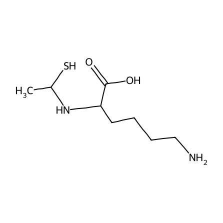 CC(S)NC(CCCCN)C(=O)O